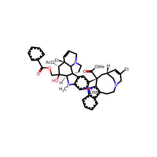 CCC1=C[C@@H]2CN(CCc3c([nH]c4ccccc34)[C@@](C(=O)OC)(c3cc4c(cc3OC)N(C)[C@H]3C(O)(COC(=O)c5ccccc5)[C@H](OC(C)=O)[C@]5(CC)C=CCN6CC[C@]43C65)C2)C1